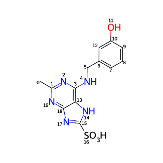 Cc1nc(NCc2cccc(O)c2)c2[nH]c(S(=O)(=O)O)nc2n1